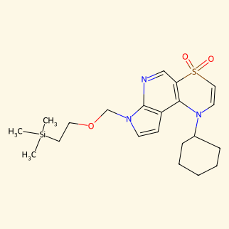 C[Si](C)(C)CCOCn1ccc2c3c(cnc21)S(=O)(=O)C=CN3C1CCCCC1